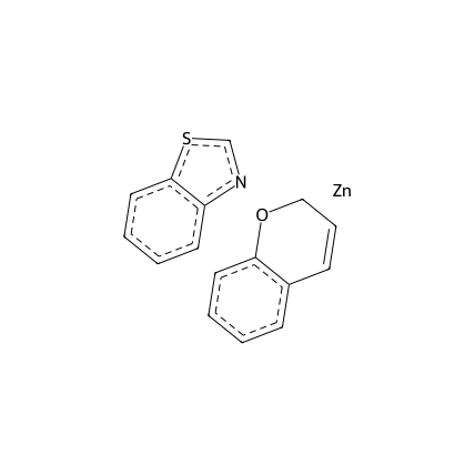 C1=Cc2ccccc2OC1.[Zn].c1ccc2scnc2c1